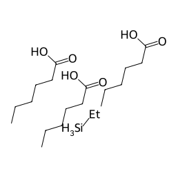 CCCCCC(=O)O.CCCCCC(=O)O.CCCCCC(=O)O.CC[SiH3]